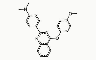 COc1ccc(Oc2nc(-c3ccc(N(C)C)cc3)nc3ccccc23)cc1